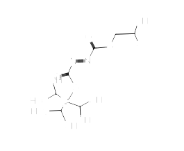 CC(C)COC(=O)/N=N/C(=O)O[Si](C(C)C)(C(C)C)C(C)C